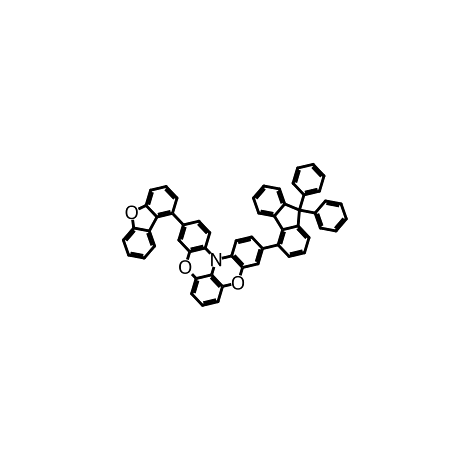 c1ccc(C2(c3ccccc3)c3ccccc3-c3c(-c4ccc5c(c4)Oc4cccc6c4N5c4ccc(-c5cccc7oc8ccccc8c57)cc4O6)cccc32)cc1